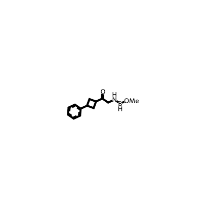 COBNCC(=O)C1CC(c2ccccc2)C1